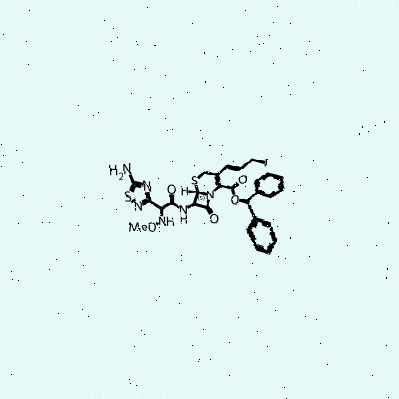 CONC(C(=O)NC1C(=O)N2C(C(=O)OC(c3ccccc3)c3ccccc3)=C(C=CCI)CS[C@@H]12)c1nsc(N)n1